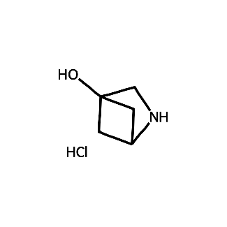 Cl.OC12CNC(C1)C2